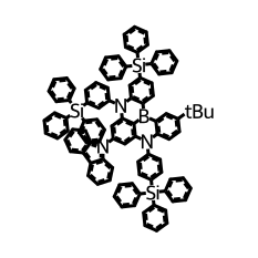 CC(C)(C)c1ccc2c(c1)B1c3ccc([Si](c4ccccc4)(c4ccccc4)c4ccccc4)cc3N(c3cccc([Si](c4ccccc4)(c4ccccc4)c4ccccc4)c3)c3cc(-n4c5ccccc5c5ccccc54)cc(c31)N2c1ccc([Si](c2ccccc2)(c2ccccc2)c2ccccc2)cc1